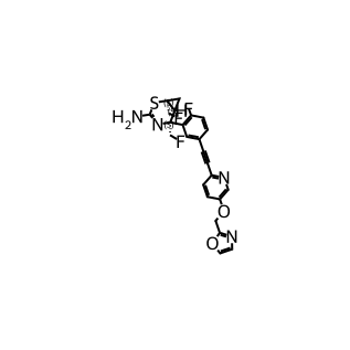 NC1=N[C@](CF)(c2cc(C#Cc3ccc(OCc4ncco4)cn3)ccc2F)[C@@H]2C[C@]2(CF)S1